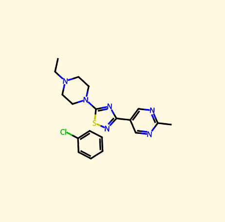 CCN1CCN(c2nc(-c3cnc(C)nc3)ns2)CC1.Clc1ccccc1